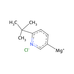 CC(C)(C)c1cc[c]([Mg+])cn1.[Cl-]